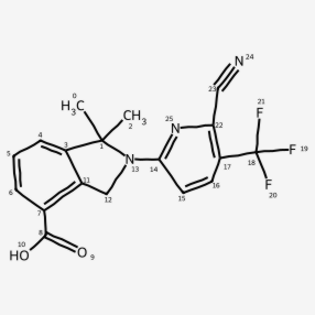 CC1(C)c2cccc(C(=O)O)c2CN1c1ccc(C(F)(F)F)c(C#N)n1